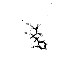 CC(C)(C)OC(=O)N(F)C(F)(C(=O)O)C(F)(F)c1ccccc1F